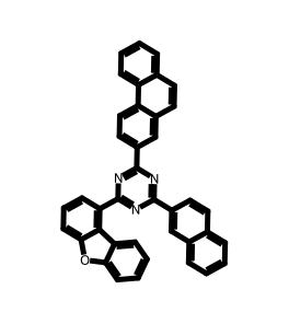 c1ccc2cc(-c3nc(-c4ccc5c(ccc6ccccc65)c4)nc(-c4cccc5oc6ccccc6c45)n3)ccc2c1